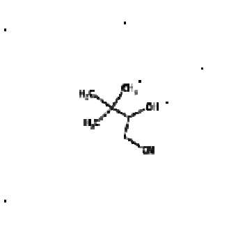 CC(C)(C)C(O)CC#N